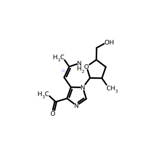 CC(=O)c1ncn(C2OC(CO)CC2C)c1/C=C(/C)N